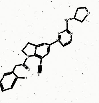 N#Cc1cc(-c2ccnc(NC3CCOC3)n2)cc2c1N(C(=O)Cc1ccccc1Cl)CC2